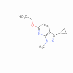 Cn1nc(C2CC2)c2ccc(OCC(=O)O)nc21